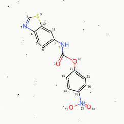 O=C(Nc1ccc2ncsc2c1)Oc1ccc([N+](=O)[O-])cc1